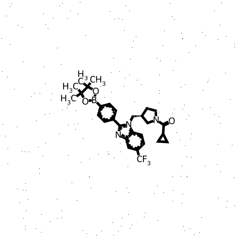 CC1(C)OB(c2ccc(-c3nc4cc(C(F)(F)F)ccc4n3C[C@H]3CCN(C(=O)C4CC4)C3)cc2)OC1(C)C